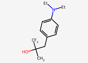 CCN(CC)c1ccc(CC(C)(O)C(F)(F)F)cc1